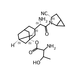 CC(O)C(N)C(=O)O[C@@]12CC3C[C@H](C1)C[C@@]([C@H](N)C(=O)N1C4CC4C[C@H]1C#N)(C3)C2